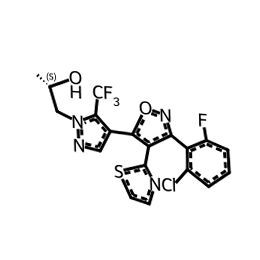 C[C@H](O)Cn1ncc(-c2onc(-c3c(F)cccc3Cl)c2-c2nccs2)c1C(F)(F)F